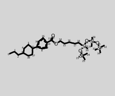 CCCC1CCC(c2ccc(C(=O)OCCCCC[Si](C)(O[Si](C)(C)C)O[Si](C)(C)O[Si](C)(C)C)cc2)CC1